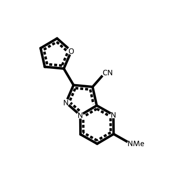 CNc1ccn2nc(-c3ccco3)c(C#N)c2n1